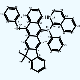 CC1(C)c2ccccc2-c2cc3c(N(C4=c5ccccc5=CCN4)c4ccccc4)c4ccccc4c(Nc4ccccc4)c3cc21